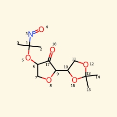 CC(C)(N=O)OC1COC(C2COC(C)(C)O2)C1=O